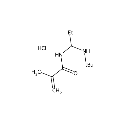 C=C(C)C(=O)NC(CC)NC(C)(C)C.Cl